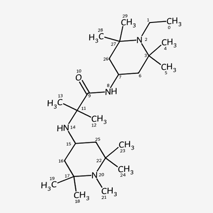 CCN1C(C)(C)CC(NC(=O)C(C)(C)NC2CC(C)(C)N(C)C(C)(C)C2)CC1(C)C